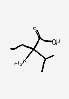 CCC(N)(C(=O)O)C(C)C